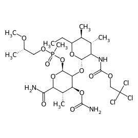 CCC1O[C@@H](OC2[C@H](OP(C)(=O)OC[C@H](C)OC)OC(C(N)=O)[C@@H](C)[C@@H]2OC(N)=O)C(NC(=O)OCC(Cl)(Cl)Cl)[C@@H](C)[C@@H]1C